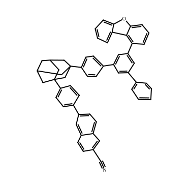 N#Cc1ccc2cc(-c3ccc(C45CC6CC(CC(c7ccc(-c8cc(-c9ccccc9)cc(-c9cccc%10oc%11ccccc%11c9%10)c8)cc7)(C6)C4)C5)cc3)ccc2c1